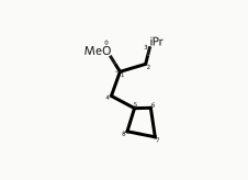 CO[C](CC(C)C)CC1CCC1